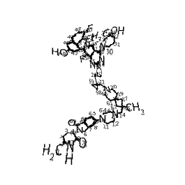 C=C1CC[C@H](N2Cc3cc(N4CCN(CC5(C)CC6(CCN(CC7(COc8nc(N9CCC[C@@](C)(O)C9)c9cnc(-c%10cc(O)cc%11ccc(F)c(CC)c%10%11)c(F)c9n8)CC7)CC6)C5)CC4)ccc3C2=O)C(=O)N1